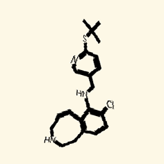 CC(C)(C)Sc1ccc(CNc2c(Cl)ccc3c2CCCNCC3)cn1